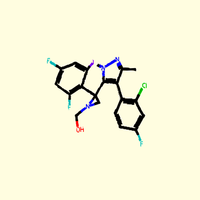 Cc1nn(C)c(C2(c3c(F)cc(F)cc3I)CN2CO)c1-c1ccc(F)cc1Cl